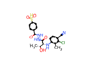 Cc1c(N[C@@H](C(=O)NNC(=O)c2ccc([SH](=O)=O)cc2)[C@@H](C)O)ccc(C#N)c1Cl